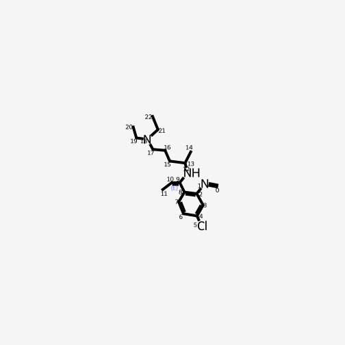 C=Nc1cc(Cl)ccc1/C(=C\C)NC(C)CCCN(CC)CC